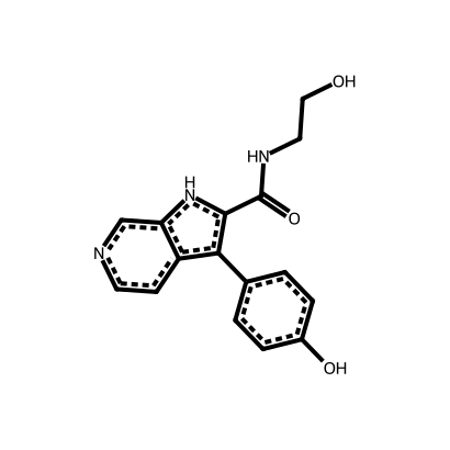 O=C(NCCO)c1[nH]c2cnccc2c1-c1ccc(O)cc1